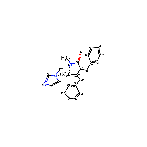 CN(CCn1ccnc1)C(=O)C(Cc1ccccc1)[C@@H](Cc1ccccc1)C(=O)O